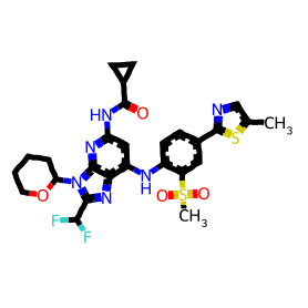 Cc1cnc(-c2ccc(Nc3cc(NC(=O)C4CC4)nc4c3nc(C(F)F)n4C3CCCCO3)c(S(C)(=O)=O)c2)s1